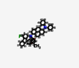 Cc1ccc(N(c2ccc(F)c3c2C2(c4ccccc4-3)C3CC4CC(C3)CC2C4)c2ccc3ccc4c(N(c5ccccc5)c5ccccc5)ccc5ccc2c3c54)cc1